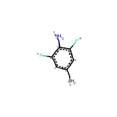 Bc1cc(F)c(N)c(F)c1